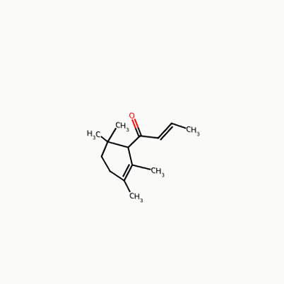 C/C=C/C(=O)C1C(C)=C(C)CCC1(C)C